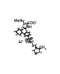 CSCC[C@H](NC(=O)c1ccc(S(=O)(=O)NCCCN2CCCCC2C)cc1-c1ccccc1)C(=O)[O-].[Li+]